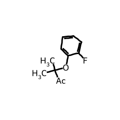 CC(=O)C(C)(C)Oc1ccccc1F